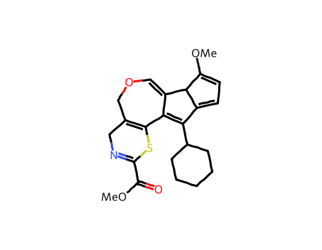 COC(=O)C1=NCC2=C(S1)C1=C(C3CCCCC3)C3=CC=C(OC)C3C1=COC2